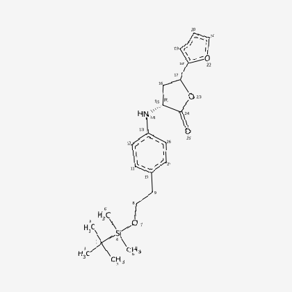 CC(C)(C)[Si](C)(C)OCCc1ccc(N[C@@H]2CC(c3ccco3)OC2=O)cc1